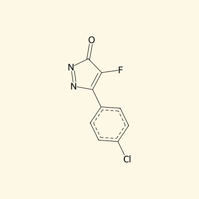 O=C1N=NC(c2ccc(Cl)cc2)=C1F